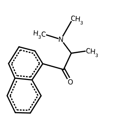 CC(C(=O)c1cccc2ccccc12)N(C)C